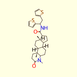 CN1C(=O)CC[C@@]2(C)C1CC[C@@H]1[C@H]2CC[C@]2(C)C(C(=O)NC(Cc3cccs3)c3cccs3)CC[C@@H]12